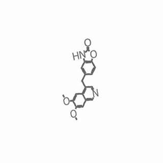 COc1cc2cncc(Cc3ccc4oc(=O)[nH]c4c3)c2cc1OC